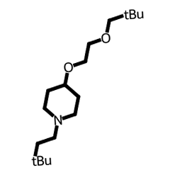 CC(C)(C)CCN1CCC(OCCOCC(C)(C)C)CC1